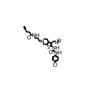 C#CCCC(=O)NCCCN1CCc2c(sc(NC(=O)Nc3ccc(Cl)cc3)c2CN=O)C1